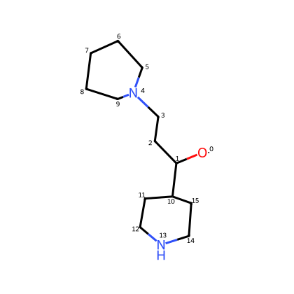 [O]C(CCN1CCCCC1)C1CCNCC1